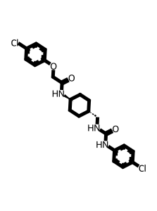 O=C(NC[C@H]1CC[C@H](NC(=O)COc2ccc(Cl)cc2)CC1)Nc1ccc(Cl)cc1